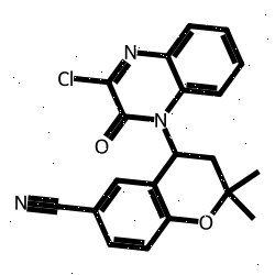 CC1(C)CC(n2c(=O)c(Cl)nc3ccccc32)c2cc(C#N)ccc2O1